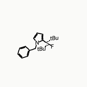 CC(C)(C)S(F)(c1cccn1Cc1ccccc1)C(C)(C)C